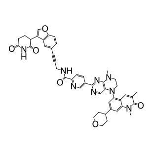 Cc1cc2c(N3CCN(C)c4nc(-c5ccc(C(=O)NCC#Cc6ccc7occ(C8CCC(=O)NC8=O)c7c6)nc5)ncc43)cc(C3CCOCC3)cc2n(C)c1=O